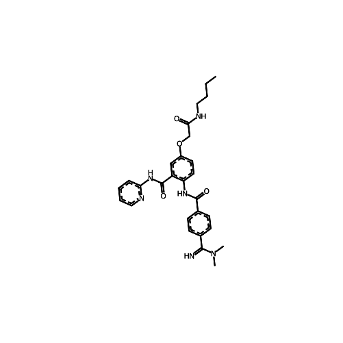 CCCCNC(=O)COc1ccc(NC(=O)c2ccc(C(=N)N(C)C)cc2)c(C(=O)Nc2ccccn2)c1